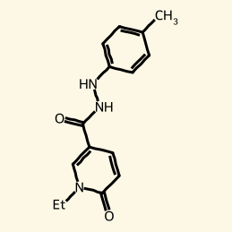 CCn1cc(C(=O)NNc2ccc(C)cc2)ccc1=O